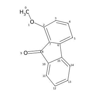 COc1cccc2c1C(=O)c1ccccc1-2